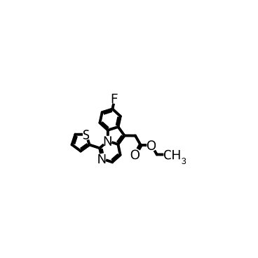 CCOC(=O)Cc1c2cc(F)ccc2n2c(-c3cccs3)nccc12